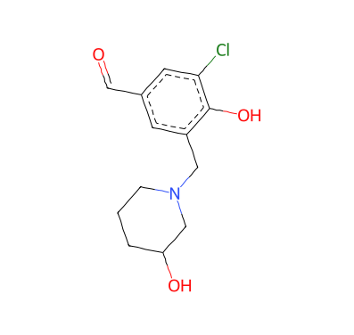 O=Cc1cc(Cl)c(O)c(CN2CCCC(O)C2)c1